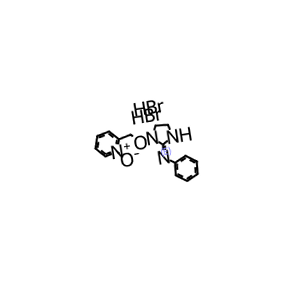 Br.Br.[O-][n+]1ccccc1CON1CCN/C1=N\c1ccccc1